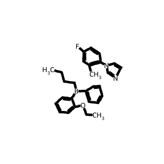 CCCCB(c1ccccc1)c1ccccc1OCC.Cc1cc(F)ccc1-n1ccnc1